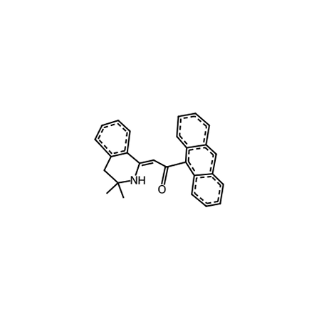 CC1(C)Cc2ccccc2/C(=C/C(=O)c2c3ccccc3cc3ccccc23)N1